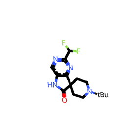 CC(C)(C)N1CCC2(CC1)C(=O)Nc1cnc(C(F)F)nc12